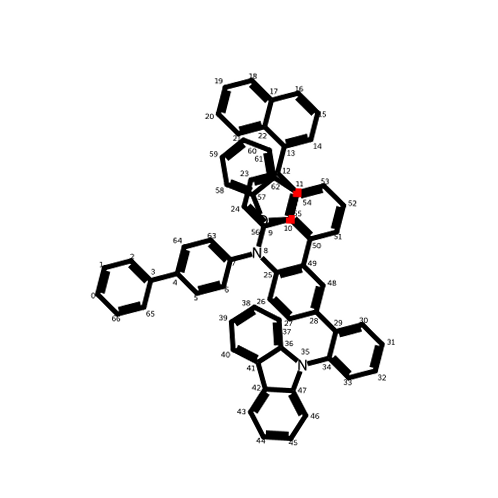 c1ccc(-c2ccc(N(c3ccc(-c4cccc5ccccc45)cc3)c3ccc(-c4ccccc4-n4c5ccccc5c5ccccc54)cc3-c3cccc4c3oc3ccccc34)cc2)cc1